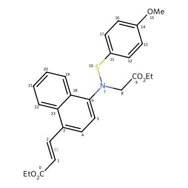 CCOC(=O)/C=C/c1ccc(N(CC(=O)OCC)Sc2ccc(OC)cc2)c2ccccc12